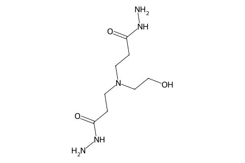 NNC(=O)CCN(CCO)CCC(=O)NN